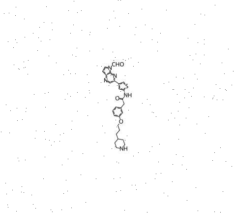 O=Cn1ccc2ncc(-c3csc(NC(=O)Cc4cccc(OCCCC5CCNCC5)c4)c3)nc21